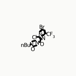 CCCCN1CCN(C(=O)c2nc3c(C(F)(F)F)cc(Br)cn3c2Cl)CC1=O